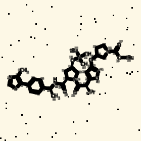 Cc1ncsc1-c1ccc([C@H](C)NC(=O)[C@H]2C[C@@H](O[Si](C)(C)C(C)(C)C)CN2C(=O)[C@@H](c2cc(OC3CCN(C(=O)OC(C)(C)C)C3)no2)C(C)C)cc1